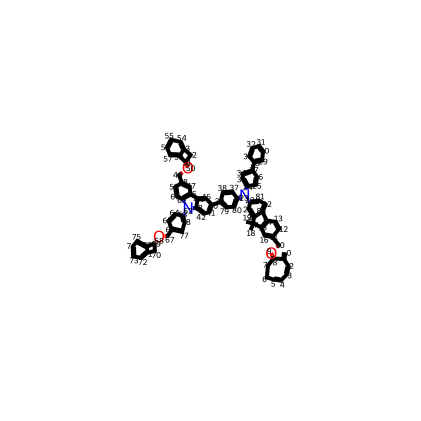 C=C1/C=C\C=C/CCC1OCc1ccc2c(c1)C(C)(C)c1cc(N(c3ccc(-c4ccccc4)cc3)c3ccc(-c4ccc5c(c4)c4cc(COC6Cc7ccccc76)ccc4n5-c4ccc(COC5Cc6ccccc65)cc4)cc3)ccc1-2